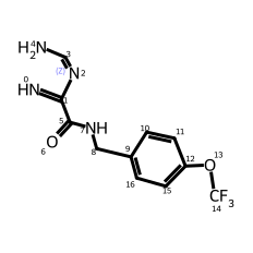 N=C(/N=C\N)C(=O)NCc1ccc(OC(F)(F)F)cc1